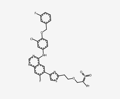 CC(C)C(COCCc1nc(-c2cc3c(Nc4ccc(OCc5cccc(F)c5)c(Cl)c4)ncnc3cc2F)cs1)=S(=O)=O